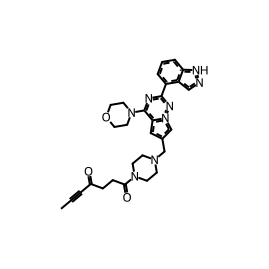 CC#CC(=O)CCC(=O)N1CCN(Cc2cc3c(N4CCOCC4)nc(-c4cccc5[nH]ncc45)nn3c2)CC1